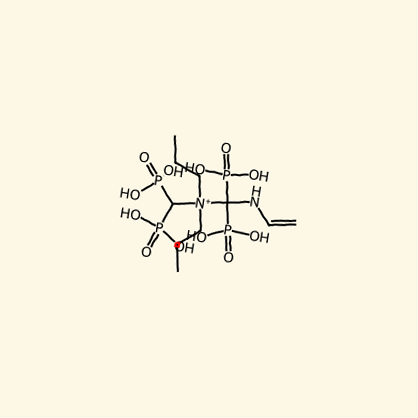 C=CNC([N+](CCC)(CCC)C(P(=O)(O)O)P(=O)(O)O)(P(=O)(O)O)P(=O)(O)O